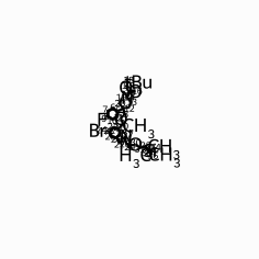 CC(OCC1(c2ccc(F)cc2)CCN(C(=O)OC(C)(C)C)CC1)c1cc(Br)cc2cn(COCC[Si](C)(C)C)nc12